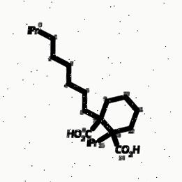 CC(C)CCCCCCC1(C(=O)O)CCCCC1(C(=O)O)C(C)C